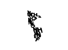 Cn1nccc1-c1nnc(N2CCC(NCc3ccc(F)cn3)CC2)c2ccccc12